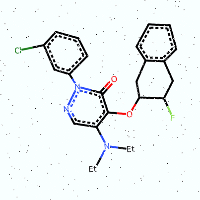 CCN(CC)c1cnn(-c2cccc(Cl)c2)c(=O)c1OC1Cc2ccccc2CC1F